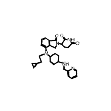 O=C1CCC(N2Cc3c(cccc3N(CCC3CC3)C3CCC(NCc4ccccn4)CC3)C2=O)C(=O)N1